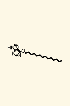 CCCCCCCCCCCCCCOc1ncnc2[nH]cnc12